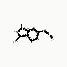 S=C=Nc1ccc2c(Cl)n[nH]c2c1